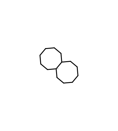 C1CCCC2CCCCCC[C]2CC1